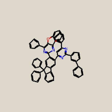 c1ccc(-c2cccc(-c3nc(-c4ccccc4)cc(-c4cc5c(cc4-c4nc(-c6ccccc6)c6oc7ccccc7c6n4)C(c4ccccc4)(c4ccccc4)c4ccccc4-5)n3)c2)cc1